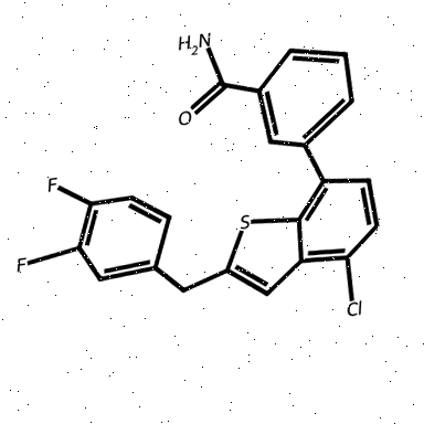 NC(=O)c1cccc(-c2ccc(Cl)c3cc(Cc4ccc(F)c(F)c4)sc23)c1